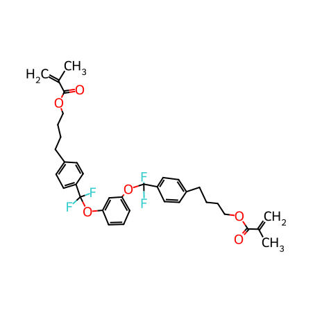 C=C(C)C(=O)OCCCCc1ccc(C(F)(F)Oc2cccc(OC(F)(F)c3ccc(CCCCOC(=O)C(=C)C)cc3)c2)cc1